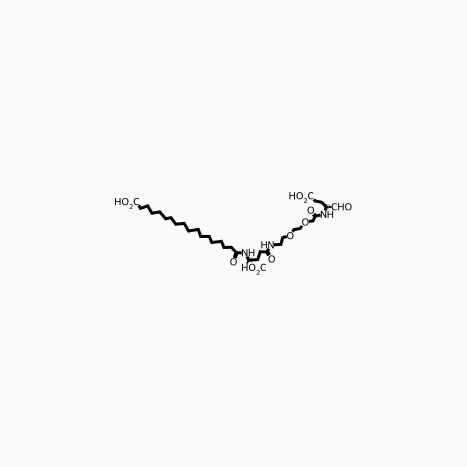 O=C[C@H](CCC(=O)O)NC(=O)COCCOCCNC(=O)CC[C@H](NC(=O)CCCCCCCCCCCCCCCCC(=O)O)C(=O)O